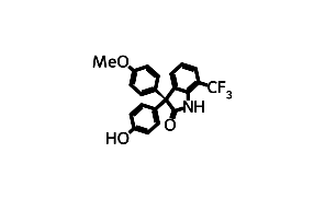 COc1ccc([C@]2(c3ccc(O)cc3)C(=O)Nc3c(C(F)(F)F)cccc32)cc1